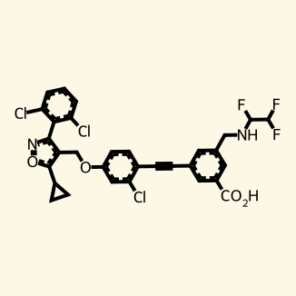 O=C(O)c1cc(C#Cc2ccc(OCc3c(-c4c(Cl)cccc4Cl)noc3C3CC3)cc2Cl)cc(CNC(F)C(F)F)c1